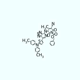 CC1=C(C#N)C(=O)N(C(=O)OCc2ccccc2)C(=O)/C1=N\c1ncc(-c2ccc(N(c3ccc(C)cc3)c3ccc(C)cc3)s2)c2nsnc12